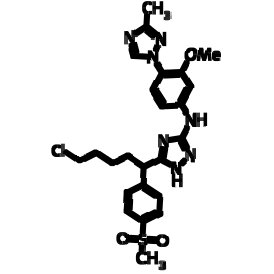 COc1cc(Nc2n[nH]c(C(CCCCCl)c3ccc(S(C)(=O)=O)cc3)n2)ccc1-n1cnc(C)n1